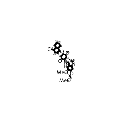 COCCOc1cc2ncnc(NC3=CC(=O)C(Oc4ccc(Cl)c5ccccc45)=CC3=O)c2cc1OC